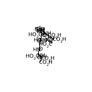 CC(C)(C)[Si](F)(c1ccc(C(=O)NC[C@H](NC(=O)CC[C@@H](C(=O)O)N2CCN(CC(=O)O)CCN(CC(=O)O)CCN(CC(=O)O)CC2)C(=O)N[C@H](CCCCNC(=O)CCCCCCC(=O)NCCCC[C@H](NC(=O)N[C@@H](CCCC(=O)O)C(=O)O)C(=O)O)C(=O)O)cc1)C(C)(C)C